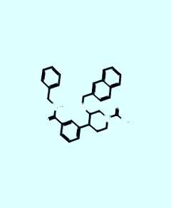 O=C(NCc1ccccc1)c1cccc(C2CCN(C(=O)O)CC2OCc2ccc3ccccc3c2)c1